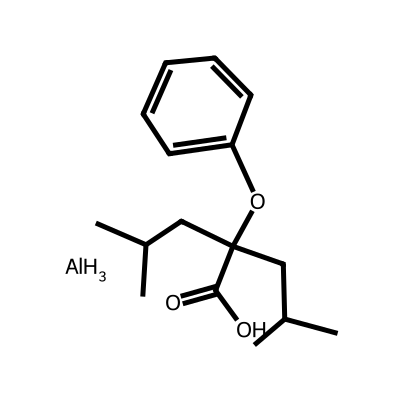 CC(C)CC(CC(C)C)(Oc1ccccc1)C(=O)O.[AlH3]